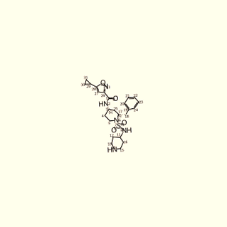 O=C(N[C@H]1CCN(S(=O)(=O)NC2CCNCC2)[C@@H](Cc2ccccc2)C1)c1cc(C2CC2)on1